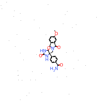 COc1ccc2c(c1)C(=O)N(C[C@@]1(c3ccc(C(N)=O)cc3)NC(=O)NC1=O)C2